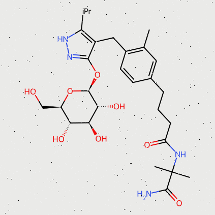 Cc1cc(CCCC(=O)NC(C)(C)C(N)=O)ccc1Cc1c(O[C@@H]2O[C@H](CO)[C@@H](O)[C@H](O)[C@H]2O)n[nH]c1C(C)C